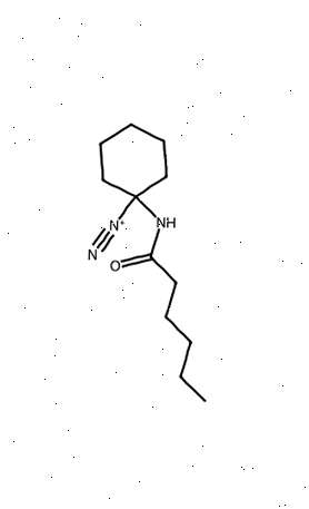 CCCCCC(=O)NC1([N+]#N)CCCCC1